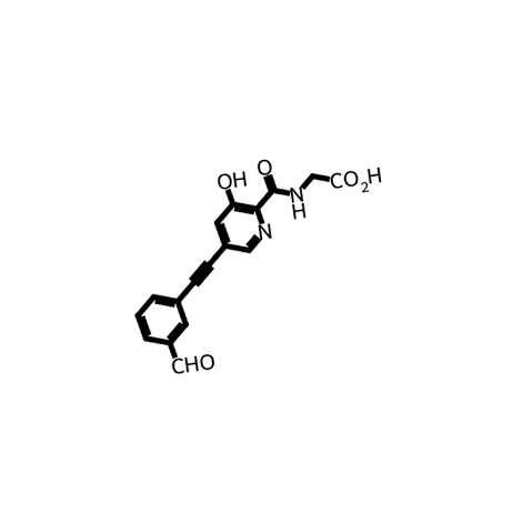 O=Cc1cccc(C#Cc2cnc(C(=O)NCC(=O)O)c(O)c2)c1